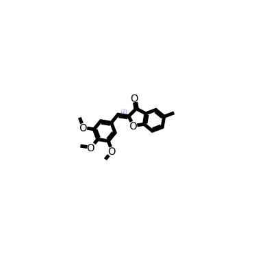 COc1cc(/C=C2\Oc3ccc(C)cc3C2=O)cc(OC)c1OC